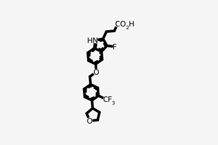 O=C(O)CCc1[nH]c2ccc(OCc3ccc(C4CCOC4)c(C(F)(F)F)c3)cc2c1F